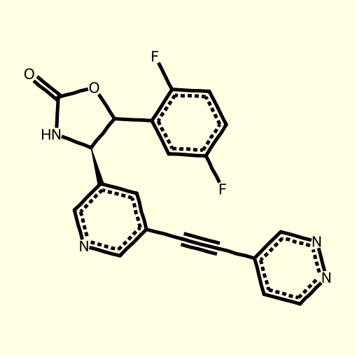 O=C1N[C@H](c2cncc(C#Cc3ccnnc3)c2)C(c2cc(F)ccc2F)O1